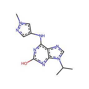 CC(C)n1cnc2c(Nc3cnn(C)c3)nc(O)nc21